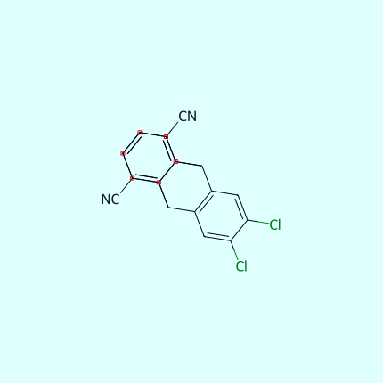 N#Cc1cccc2c1C1c3cc(Cl)c(Cl)cc3C2c2c(C#N)cccc21